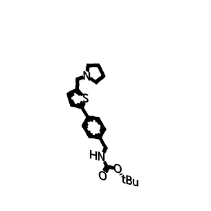 CC(C)(C)OC(=O)NCc1ccc(-c2ccc(CN3CCCC3)s2)cc1